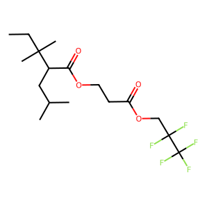 CCC(C)(C)C(CC(C)C)C(=O)OCCC(=O)OCC(F)(F)C(F)(F)F